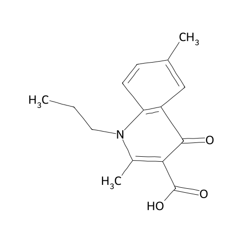 CCCn1c(C)c(C(=O)O)c(=O)c2cc(C)ccc21